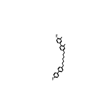 Cc1cc(-c2ccc(CCCCCCCc3ccc(-c4ccc(F)cc4)cc3)cc2C)ccc1F